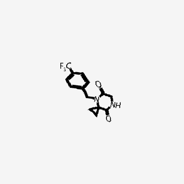 O=C1CNC(=O)C2(CC2)N1Cc1ccc(C(F)(F)F)cc1